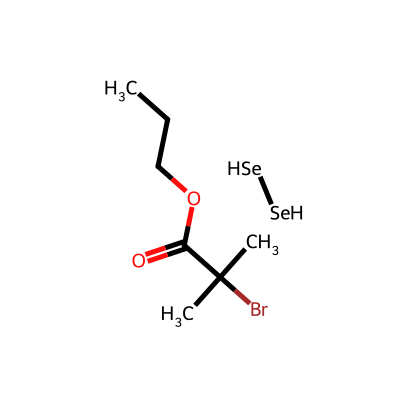 CCCOC(=O)C(C)(C)Br.[SeH][SeH]